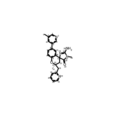 Cc1cncc(-c2ccc3c(c2)C2(C[C@@](C)(Cc4ccccn4)O3)N=C(N)N(C)C2=O)c1